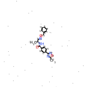 CC(/C=N/OCc1ccccc1)NC(=O)c1ccc(-c2noc(C(F)(F)F)n2)cc1